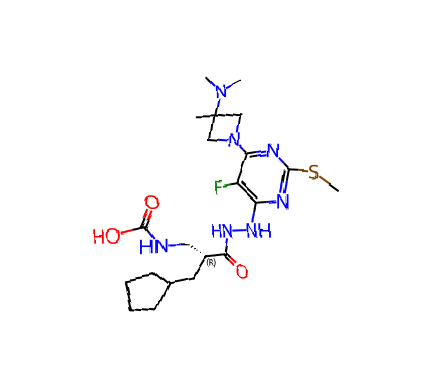 CSc1nc(NNC(=O)[C@@H](CNC(=O)O)CC2CCCC2)c(F)c(N2CC(C)(N(C)C)C2)n1